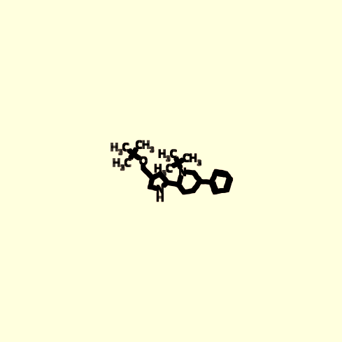 CC(C)(C)OCC1CNC(C2CCC(c3ccccc3)CN2C(C)(C)C)C1